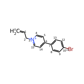 C=CC[n+]1ccc(-c2ccc(Br)cc2)cc1